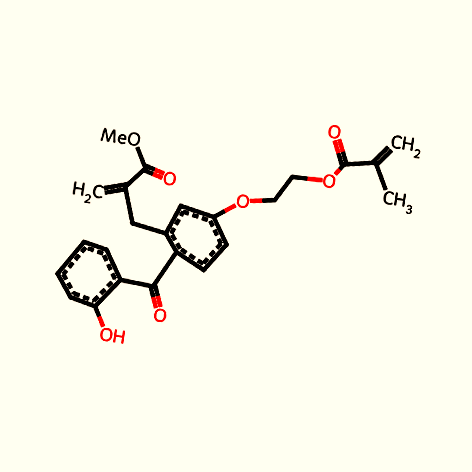 C=C(C)C(=O)OCCOc1ccc(C(=O)c2ccccc2O)c(CC(=C)C(=O)OC)c1